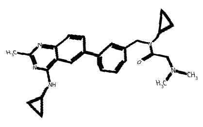 Cc1nc(NC2CC2)c2cc(-c3cccc(CN(C(=O)CN(C)C)C4CC4)c3)ccc2n1